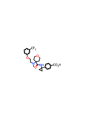 CN(CCOc1cccc(C(F)(F)F)c1)C1(C(=O)NC2(c3ccc(C(=O)O)cc3)CC2)CCOCC1